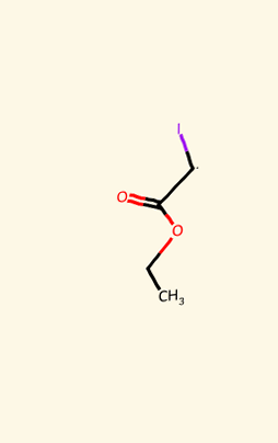 CCOC(=O)[CH]I